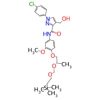 COc1cc(NC(=O)c2nn(-c3ccc(Cl)cc3)cc2CO)ccc1OCC(C)OCOCC[Si](C)(C)C